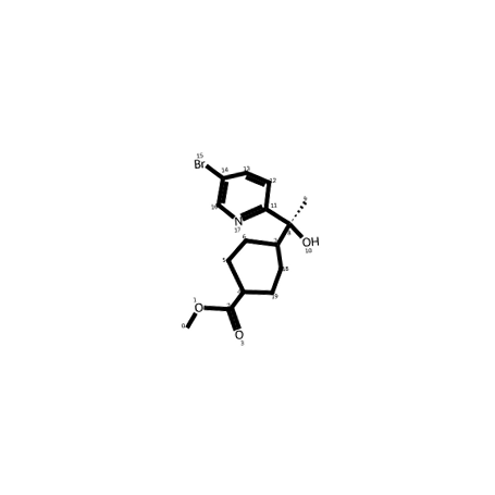 COC(=O)C1CCC([C@](C)(O)c2ccc(Br)cn2)CC1